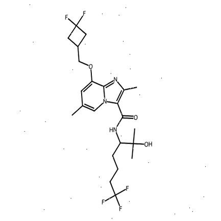 Cc1cc(OCC2CC(F)(F)C2)c2nc(C)c(C(=O)NC(CCCC(F)(F)F)C(C)(C)O)n2c1